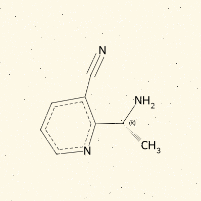 C[C@@H](N)c1ncccc1C#N